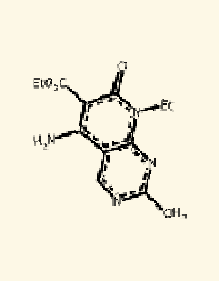 CCOC(=O)c1c(N)c2cnc(C)nc2n(CC)c1=O